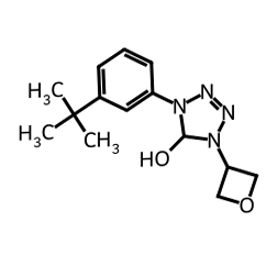 CC(C)(C)c1cccc(N2N=NN(C3COC3)C2O)c1